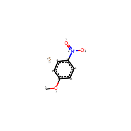 COc1ccc([N+](=O)[O-])cc1.[S]